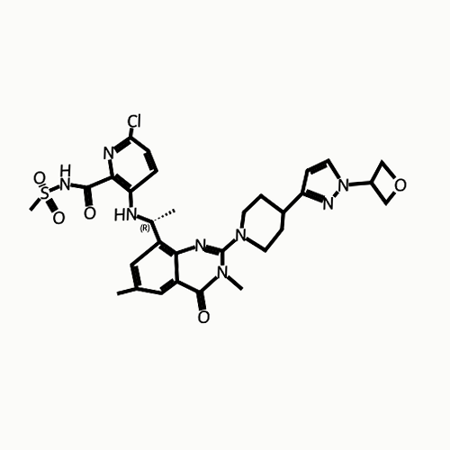 Cc1cc([C@@H](C)Nc2ccc(Cl)nc2C(=O)NS(C)(=O)=O)c2nc(N3CCC(c4ccn(C5COC5)n4)CC3)n(C)c(=O)c2c1